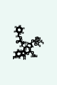 CC(C)(C)OC(=O)N1C[C@H](O[Si](C)(C)C(C)(C)C)C[C@H]1[C@@H](CNC(=O)OCc1ccccc1)c1c[nH]c2cc(F)ccc12